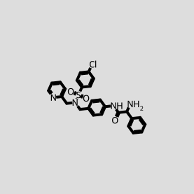 NC(C(=O)Nc1ccc(CN(Cc2ccccn2)S(=O)(=O)c2ccc(Cl)cc2)cc1)c1ccccc1